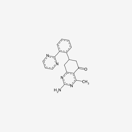 Cc1nc(N)nc2c1C(=O)CC(c1ccccc1-c1ncccn1)C2